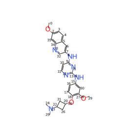 COc1ccc2cc(Nc3ccnc(Nc4ccc(OC5CC(N(C)C)C5)c(OC)c4)n3)cnc2c1